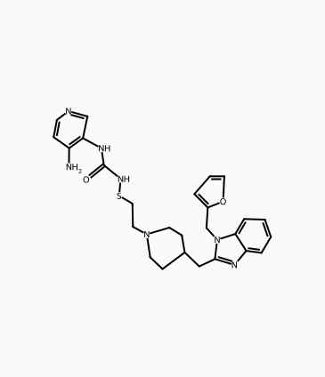 Nc1ccncc1NC(=O)NSCCN1CCC(Cc2nc3ccccc3n2Cc2ccco2)CC1